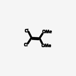 COC(OC)=C(Cl)Cl